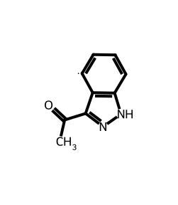 CC(=O)c1n[nH]c2ccc[c]c12